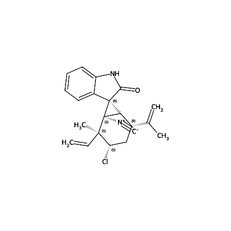 [C-]#[N+][C@]12C([C@H](C(=C)C)C[C@H](Cl)[C@@]1(C)C=C)[C@]21C(=O)Nc2ccccc21